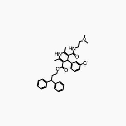 CC1=C(C(=O)NCCN(C)C)C(c2cccc(Cl)c2)C(C(=O)OCCC(c2ccccc2)c2ccccc2)=C(C)N1